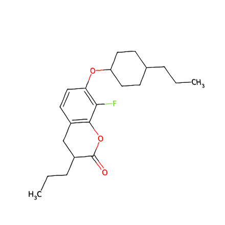 CCCC1CCC(Oc2ccc3c(c2F)OC(=O)C(CCC)C3)CC1